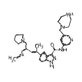 C=N/C=C(\C=C(/C)c1ccc2[nH]nc(C(=O)Nc3cncc(CN4CCNCC4)c3)c2c1)CN1CCCC1